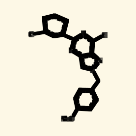 COc1ccc(Cn2cc3nc(-c4cccc(Cl)c4)nc(Cl)c3n2)cc1